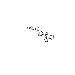 O=C(c1cnc(N2CCC[C@H](CO)C2)s1)N1CCCC1c1ccccc1